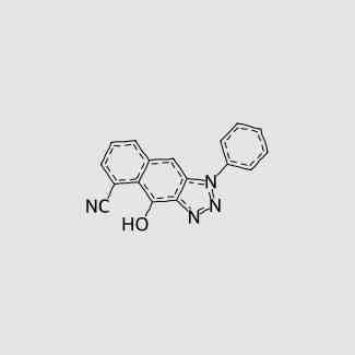 N#Cc1cccc2cc3c(nnn3-c3ccccc3)c(O)c12